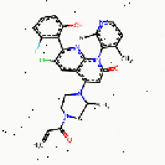 C=CC(=O)N1CCN(c2cc(=O)n(-c3c(C)ccnc3C(C)C)c3nc(-c4c(O)cccc4F)c(Cl)cc23)C(C)C1